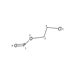 O=POCCCl